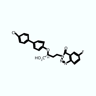 O=C(O)[C@@H](CCn1nnc2ccc(F)cc2c1=O)Oc1ccc(-c2ccc(Cl)cc2)cc1